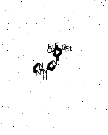 CCOc1cc(CN2CCC(Nc3ncccn3)CC2)cc(OCC)c1F